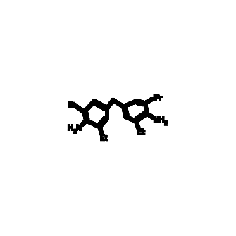 CCc1cc(Cc2cc(CC)c(N)c(C(C)C)c2)cc(CC)c1N